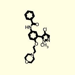 Cn1ncc(Cl)c1-c1cc(NC(=O)c2ccccc2)ccc1OCCN1CCOCC1